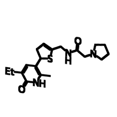 CCc1cc(C2CC=C(CNC(=O)CN3CCCC3)S2)c(C)[nH]c1=O